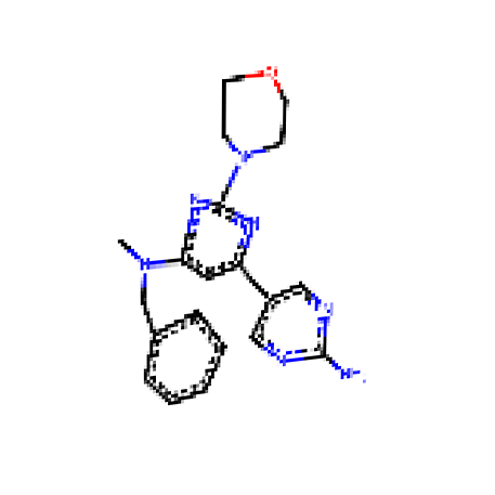 CN(Cc1ccccc1)c1cc(-c2cnc(N)nc2)nc(N2CCOCC2)n1